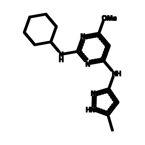 COc1cc(Nc2cc(C)[nH]n2)nc(NC2CCCCC2)n1